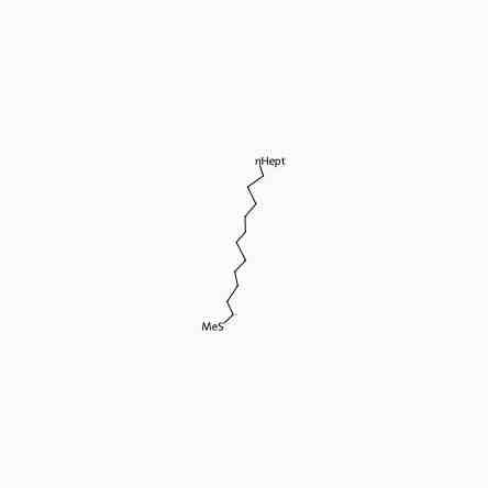 CCCCCCCCCCCCCCCCC[CH]SC